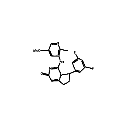 COc1cnc(C)c(Nc2nc(=O)cc3n2C(c2cc(F)cc(F)c2)CC3)c1